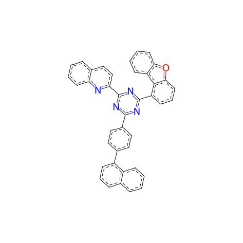 c1ccc2nc(-c3nc(-c4ccc(-c5cccc6ccccc56)cc4)nc(-c4cccc5oc6ccccc6c45)n3)ccc2c1